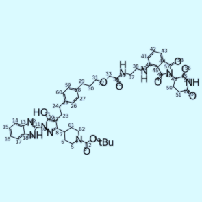 CC(C)(C)OC(=O)N1CCC(c2nn(-c3nc4ccccc4[nH]3)c(O)c2CCc2ccc(CCCOCC(=O)NCCNc3cccc4c3C(=O)N(C3CCC(=O)NC3=O)C4=O)cc2)CC1